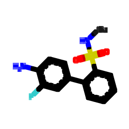 CC(C)(C)NS(=O)(=O)c1ccccc1-c1ccc(N)c(F)c1